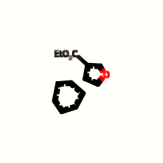 CCOC(=O)c1ccoc1.c1ccccc1